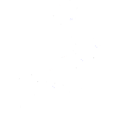 Cc1ccc(NC(=O)c2cccc(C(F)(F)F)c2)cc1-n1cnc2ccc(N3CCOCC3)cc2c1=O